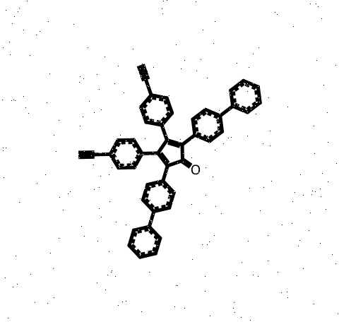 C#Cc1ccc(C2=C(c3ccc(-c4ccccc4)cc3)C(=O)C(c3ccc(-c4ccccc4)cc3)=C2c2ccc(C#C)cc2)cc1